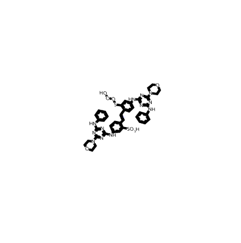 O=S(=O)(O)c1cc(Nc2nc(Nc3ccccc3)nc(N3CCOCC3)n2)ccc1/C=C/c1ccc(Nc2nc(Nc3ccccc3)nc(N3CCOCC3)n2)cc1SOOO